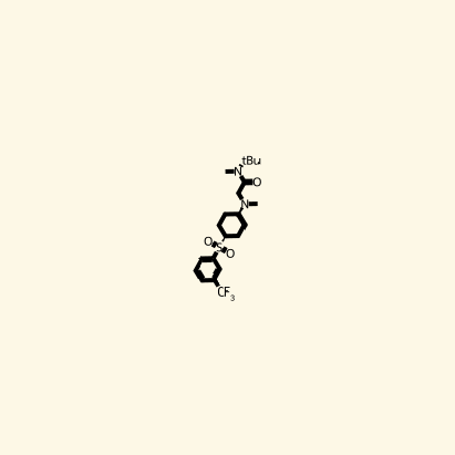 CN(C(=O)CN(C)[C@H]1CC[C@H](S(=O)(=O)c2cccc(C(F)(F)F)c2)CC1)C(C)(C)C